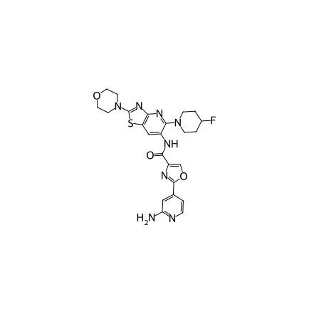 Nc1cc(-c2nc(C(=O)Nc3cc4sc(N5CCOCC5)nc4nc3N3CCC(F)CC3)co2)ccn1